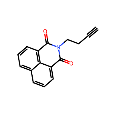 C#CCCN1C(=O)c2cccc3cccc(c23)C1=O